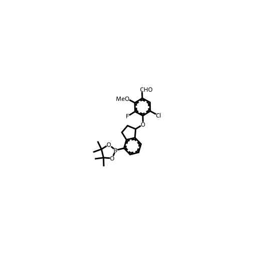 COc1c(C=O)cc(Cl)c(OC2CCc3c(B4OC(C)(C)C(C)(C)O4)cccc32)c1F